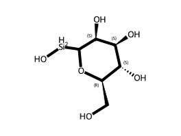 OC[C@H]1OC([SiH2]O)[C@@H](O)[C@@H](O)[C@@H]1O